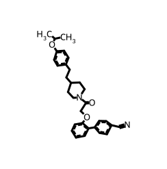 CC(C)Oc1ccc(CCC2CCN(C(=O)COc3ccccc3-c3ccc(C#N)cc3)CC2)cc1